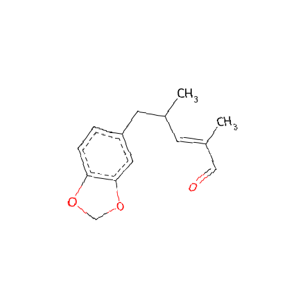 C/C(C=O)=C\C(C)Cc1ccc2c(c1)OCO2